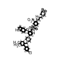 CC1(C)CCC(CN2CCN(c3ccc(C(=O)NS(=O)(=O)c4ccc(NCCCN5CCS(=O)(=O)CC5)c([N+](=O)[O-])c4)c(Oc4ccc5[nH]ccc5c4)c3)CC2)=C(c2ccc(Cl)cc2)C1